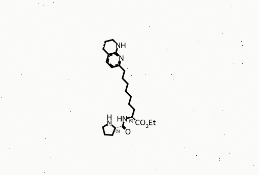 CCOC(=O)[C@H](CCCCCCCc1ccc2c(n1)NCCC2)NC(=O)[C@@H]1CCCN1